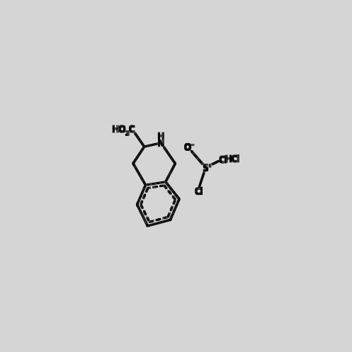 Cl.O=C(O)C1Cc2ccccc2CN1.[O-][S+](Cl)Cl